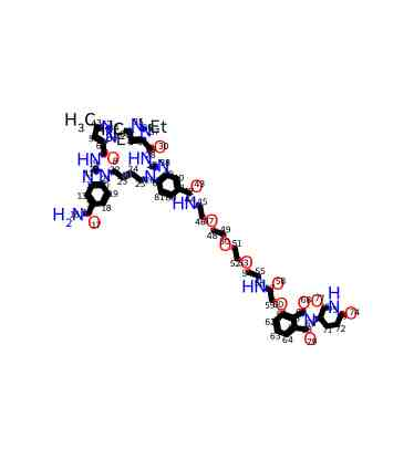 CCn1nc(C)cc1C(=O)Nc1nc2cc(C(N)=O)ccc2n1C/C=C/Cn1c(NC(=O)c2cc(C)nn2CC)nc2cc(C(=O)NCCOCCOCCOCCNC(=O)COc3cccc4c3C(=O)N(C3CCC(=O)NC3=O)C4=O)ccc21